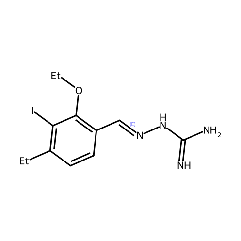 CCOc1c(/C=N/NC(=N)N)ccc(CC)c1I